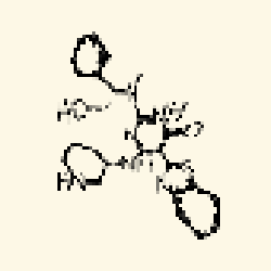 CN(c1nc(N[C@@H]2CCCNC2)c(-c2nc3ccccc3s2)c(=O)[nH]1)[C@H](CO)c1ccccc1